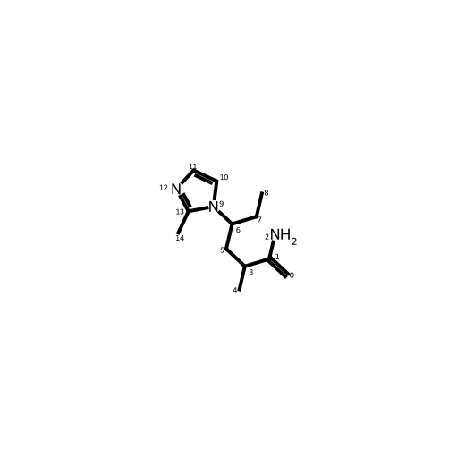 C=C(N)C(C)CC(CC)n1ccnc1C